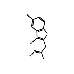 CC(Cc1sc2ccc(Cl)cc2c1Cl)=NO